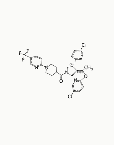 C[C@H](Oc1ccc(Cl)cn1)[C@H]1CN(C(=O)C2CCN(c3ccc(C(F)(F)F)cn3)CC2)C[C@@H]1c1ccc(Cl)cc1